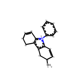 BC1C=Cc2c(c3c(n2-c2ccccc2)C=CCC3)C1